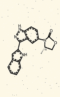 C[C@H]1COC(=O)N1c1ccc2[nH]nc(-c3cc4ccccc4[nH]3)c2c1